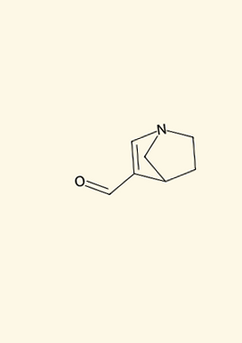 O=CC1=CN2CCC1C2